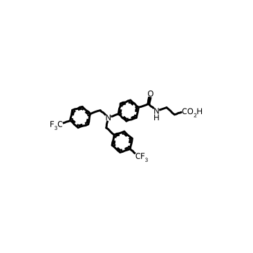 O=C(O)CCNC(=O)c1ccc(N(Cc2ccc(C(F)(F)F)cc2)Cc2ccc(C(F)(F)F)cc2)cc1